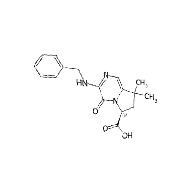 CC1(C)C[C@@H](C(=O)O)n2c1cnc(NCc1ccccc1)c2=O